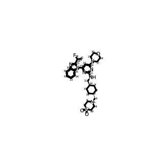 O=S1(=O)CCN(C[C@H]2CC[C@H](CNc3nc(N4CCOCC4)cc(-n4c(C(F)F)nc5ccccc54)n3)CC2)CC1